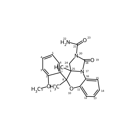 COc1ccccc1C1(C)Oc2ccccc2N2C(=O)N(C(N)=O)CC21C